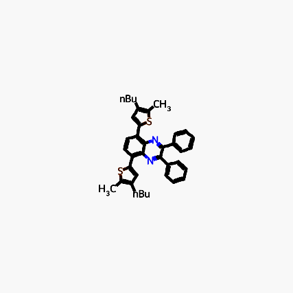 CCCCc1cc(-c2ccc(-c3cc(CCCC)c(C)s3)c3nc(-c4ccccc4)c(-c4ccccc4)nc23)sc1C